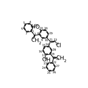 C=C(c1ccccc1)c1cc(C(=CCl)c2ccc(O)c(C(=C)c3ccccc3)c2)ccc1O